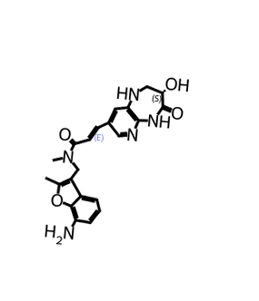 Cc1oc2c(N)cccc2c1CN(C)C(=O)/C=C/c1cnc2c(c1)NC[C@H](O)C(=O)N2